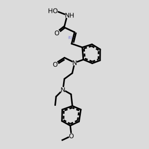 CCN(CCN(C=O)c1ccccc1/C=C/C(=O)NO)Cc1ccc(OC)cc1